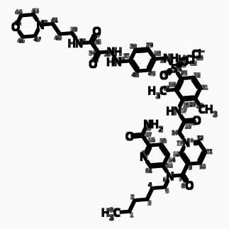 CCCCCCN(C(=O)c1ccc[n+](CC(=O)Nc2c(C)ccc(S(=O)(=O)Nc3ccc(NNC(=O)C(=O)NCCCN4CCOCC4)cc3)c2C)c1)c1ccc(C(N)=O)nc1.Cl.[Cl-]